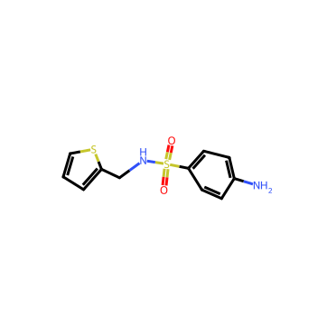 Nc1ccc(S(=O)(=O)NCc2cccs2)cc1